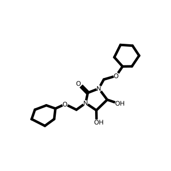 O=C1N(COC2CCCCC2)C(O)C(O)N1COC1CCCCC1